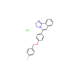 Cl.Fc1ccc(COc2ccc(C3=Cc4ccccc4C4=NCCN34)cc2)cc1